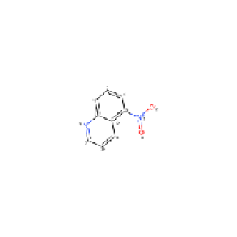 O=[N+]([O-])c1[c]ccc2ncccc12